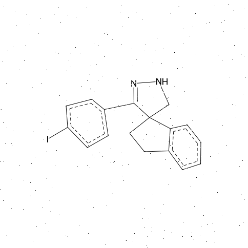 Ic1ccc(C2=NNCC23CCc2ccccc23)cc1